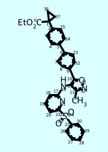 CCOC(=O)C1(c2ccc(-c3ccc(-c4onc(C)c4Nc4cccc(S(=O)(=O)c5ccccc5)n4)cc3)cc2)CC1